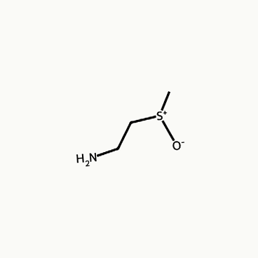 C[S+]([O-])CCN